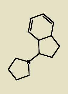 C1=CC2CCC(N3CCCC3)C2C=C1